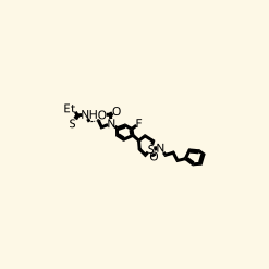 CCC(=S)NC[C@H]1CN(c2ccc(C3CCS(=O)(=NCCCc4ccccc4)CC3)c(F)c2)C(=O)O1